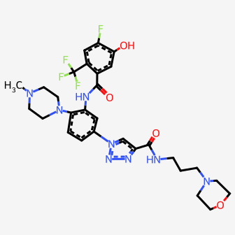 CN1CCN(c2ccc(-n3cc(C(=O)NCCCN4CCOCC4)nn3)cc2NC(=O)c2cc(O)c(F)cc2C(F)(F)F)CC1